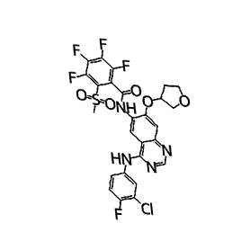 CS(=O)(=O)c1c(F)c(F)c(F)c(F)c1C(=O)Nc1cc2c(Nc3ccc(F)c(Cl)c3)ncnc2cc1OC1CCOC1